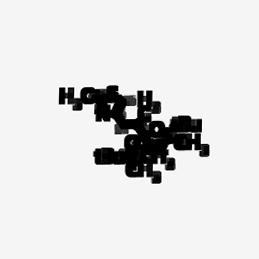 CCC(O[Si](C)(C)C(C)(C)C)(O[Si](C)(C)C(C)(C)C)C(C)=Cc1csc(C)n1